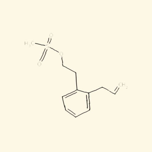 C=CCc1ccccc1CCOS(C)(=O)=O